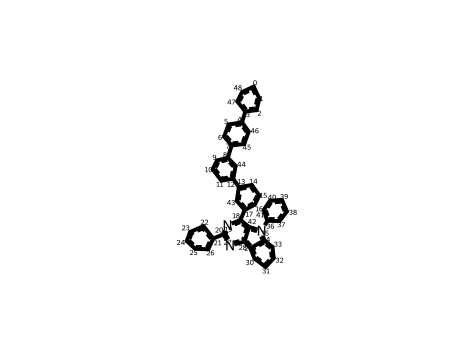 c1ccc(-c2ccc(-c3cccc(-c4cccc(-c5nc(-c6ccccc6)nc6c7ccccc7n(-c7ccccc7)c56)c4)c3)cc2)cc1